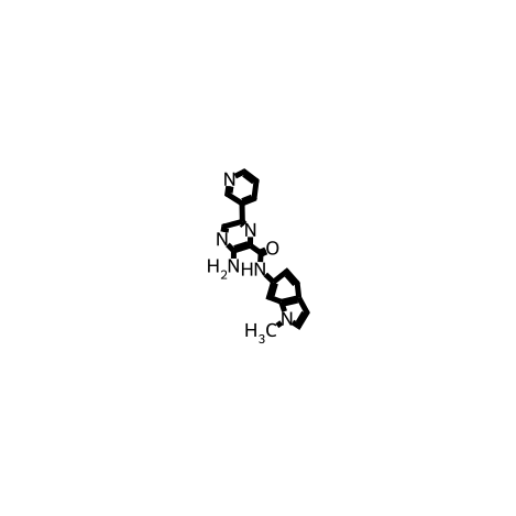 Cn1ccc2ccc(NC(=O)c3nc(-c4cccnc4)cnc3N)cc21